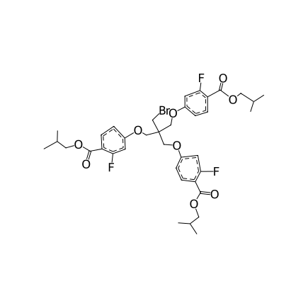 CC(C)COC(=O)c1ccc(OCC(CBr)(COc2ccc(C(=O)OCC(C)C)c(F)c2)COc2ccc(C(=O)OCC(C)C)c(F)c2)cc1F